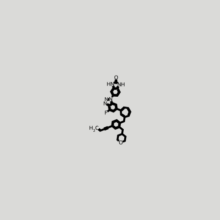 C=CC#Cc1ccc(CC2=CC(c3cc(F)c4nnn(-c5ccc6[nH]c(=O)[nH]c6c5)c4c3)=CC=C=C2)c(CC2CCOCC2)c1